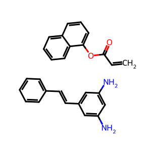 C=CC(=O)Oc1cccc2ccccc12.Nc1cc(N)cc(C=Cc2ccccc2)c1